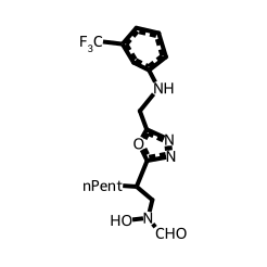 CCCCCC(CN(O)C=O)c1nnc(CNc2cccc(C(F)(F)F)c2)o1